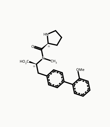 COc1ccccc1-c1ccc(C[C@@H](C(=O)O)N(C)C(=O)[C@@H]2CCCN2)cc1